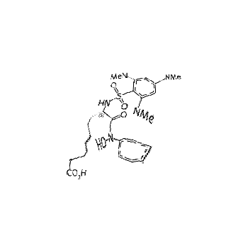 CNc1cc(NC)c(S(=O)(=O)N[C@@H](CCCCCC(=O)O)C(=O)N(O)c2cc[c]cc2)c(NC)c1